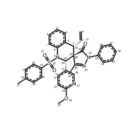 C=C[C@H]1c2ccccc2N(S(=O)(=O)c2ccc(C)cc2)[C@@H](c2ccc(OC)nc2)[C@]12C(=O)N(c1ccccc1)N=C2C